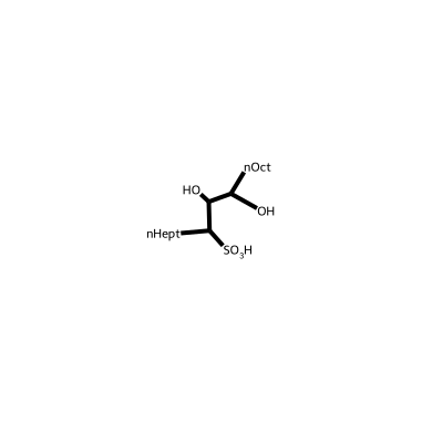 CCCCCCCCC(O)C(O)C(CCCCCCC)S(=O)(=O)O